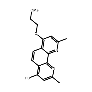 COCCOc1cc(C)nc2c1ccc1c(O)cc(C)nc12